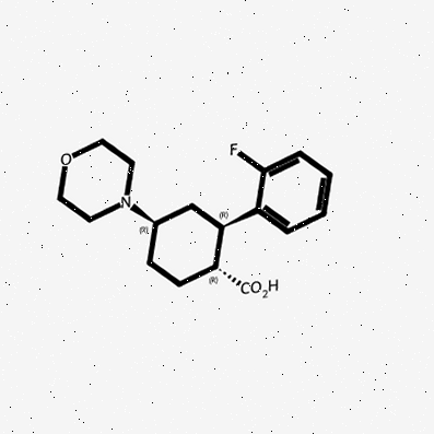 O=C(O)[C@@H]1CC[C@@H](N2CCOCC2)C[C@H]1c1ccccc1F